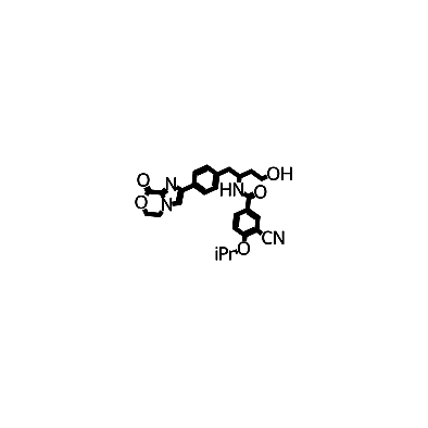 CC(C)Oc1ccc(C(=O)NC(CCO)Cc2ccc(-c3cn4c(n3)C(=O)OCC4)cc2)cc1C#N